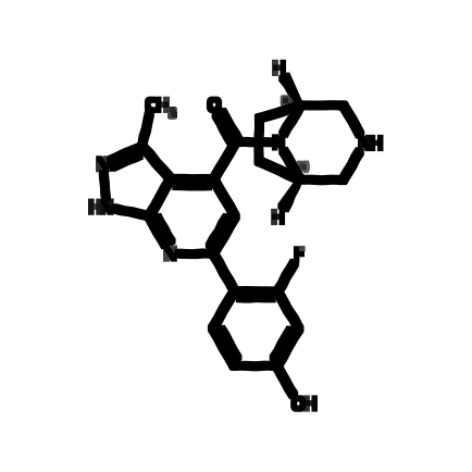 Cc1n[nH]c2nc(-c3ccc(O)cc3F)cc(C(=O)N3[C@@H]4CC[C@H]3CNC4)c12